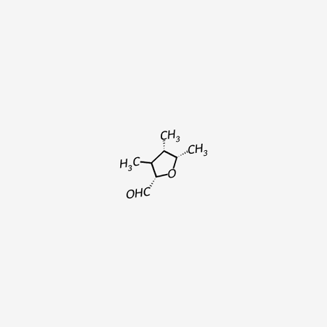 CC1[C@@H](C=O)O[C@@H](C)[C@H]1C